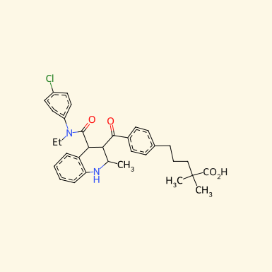 CCN(C(=O)C1c2ccccc2NC(C)C1C(=O)c1ccc(CCCC(C)(C)C(=O)O)cc1)c1ccc(Cl)cc1